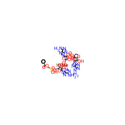 COC1[C@@H](COP(=O)(O)SCCOC(=O)c2ccccc2)O[C@@H](n2cnc3c(N)ncnc32)[C@H]1OP(=O)(O)OC[C@H]1O[C@@H](n2cnc3c(N)ncnc32)[C@@H](OP(=O)(O)OC[C@]23CCCOC2[C@H](O)[C@H](n2cnc4c(N)ncnc42)O3)C1O